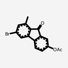 CC(=O)Oc1ccc2c(c1)C(=O)c1c(C)cc(Br)cc1-2